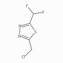 FC(F)c1nnc(CCl)s1